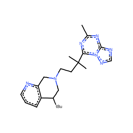 Cc1nc(C(C)(C)CCN2Cc3ncccc3C(C(C)(C)C)C2)n2ncnc2n1